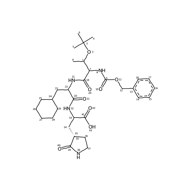 CC(OC(C)(C)C)C(NC(=O)OCc1ccccc1)C(=O)NC(CC1CCCCC1)C(=O)NC(C[C@@H]1CCNC1=O)C(=O)O